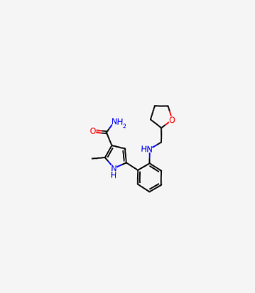 Cc1[nH]c(-c2ccccc2NCC2CCCO2)cc1C(N)=O